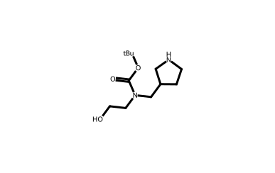 CC(C)(C)OC(=O)N(CCO)CC1CCNC1